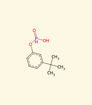 CC(C)(C)c1cccc(O[PH](=O)O)c1